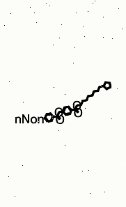 CCCCCCCCCc1ccc(C(=O)Oc2ccc(C(=O)OCCCCCCCCC3CCCC3)cc2)cc1